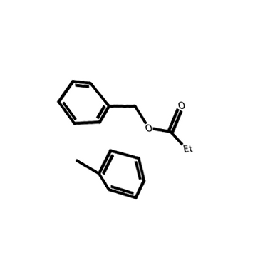 CCC(=O)OCc1ccccc1.Cc1ccccc1